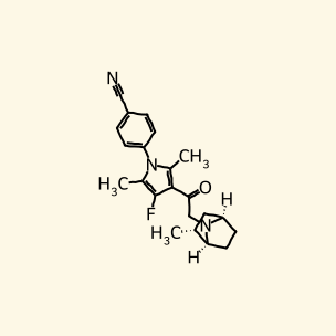 Cc1c(F)c(C(=O)CN2[C@@H]3CC[C@H]2[C@H](C)C3)c(C)n1-c1ccc(C#N)cc1